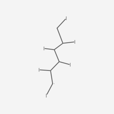 I[CH]C(I)C(I)C(I)C(I)CI